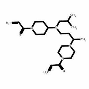 C=CC(=O)N1CCC(N(CCC(C)N2CCN(C(=O)C=C)CC2)CC(C)C)CC1